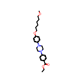 CCOC(=O)c1ccc(N2CCN(c3ccc(OCCCCCCOC)cc3)CC2)cc1